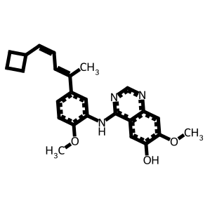 COc1cc2ncnc(Nc3cc(/C(C)=C/C=C\C4CCC4)ccc3OC)c2cc1O